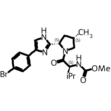 COC(=O)N[C@H](C(=O)N1C[C@@H](C)C[C@H]1c1nc(-c2ccc(Br)cc2)c[nH]1)C(C)C